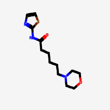 O=C(CCCCCN1CCOCC1)Nc1nccs1